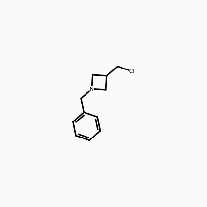 ClCC1CN(Cc2ccccc2)C1